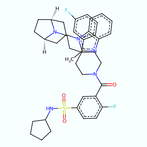 Cc1nc2ccccc2n1C1C[C@H]2CC[C@@H](C1)N2CCC1(c2cccc(F)c2)CCN(C(=O)c2cc(S(=O)(=O)NC3CCCC3)ccc2F)CC1